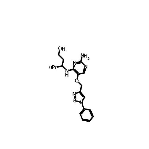 CCCC(CCO)Nc1nc(N)ncc1OCc1cn(-c2ccccc2)bn1